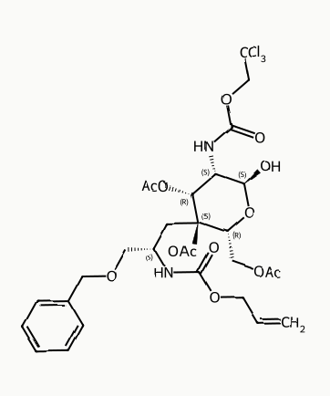 C=CCOC(=O)N[C@H](COCc1ccccc1)C[C@]1(OC(C)=O)[C@H](OC(C)=O)[C@H](NC(=O)OCC(Cl)(Cl)Cl)[C@@H](O)O[C@@H]1COC(C)=O